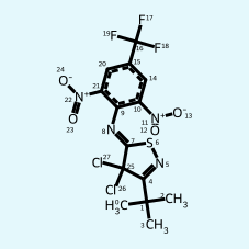 CC(C)(C)C1=NS/C(=N\c2c([N+](=O)[O-])cc(C(F)(F)F)cc2[N+](=O)[O-])C1(Cl)Cl